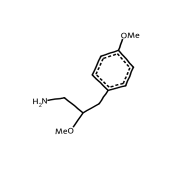 COc1ccc(CC(CN)OC)cc1